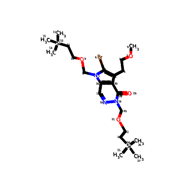 COCCc1c(Br)n(COCC[Si](C)(C)C)c2cnn(COCC[Si](C)(C)C)c(=O)c12